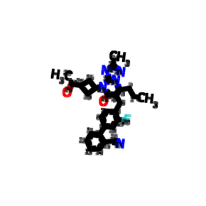 CCCc1c(Cc2ccc(-c3ccccc3C#N)cc2F)c(=O)n(C2CC(C(C)=O)C2)c2nc(C)nn12